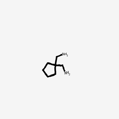 NCC1(CN)CCCC1